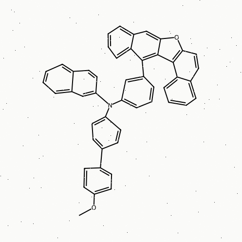 COc1ccc(-c2ccc(N(c3cccc(-c4c5ccccc5cc5oc6ccc7ccccc7c6c45)c3)c3ccc4ccccc4c3)cc2)cc1